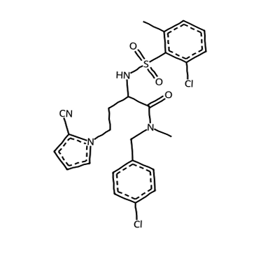 Cc1cccc(Cl)c1S(=O)(=O)NC(CCn1cccc1C#N)C(=O)N(C)Cc1ccc(Cl)cc1